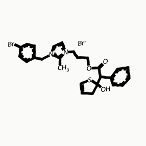 Cc1n(CCCOC(=O)C(c2ccccc2)C2(O)CC=CS2)cc[n+]1Cc1ccc(Br)cc1.[Br-]